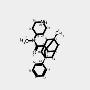 CN(C(=O)C12CC3C[C@@](C)(C1)C[C@](c1ccccc1)(C3)C2)C1CCNCC1